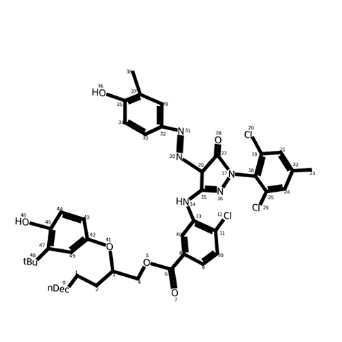 CCCCCCCCCCCCC(COC(=O)c1ccc(Cl)c(NC2=NN(c3c(Cl)cc(C)cc3Cl)C(=O)C2/N=N/c2ccc(O)c(C)c2)c1)Oc1ccc(O)c(C(C)(C)C)c1